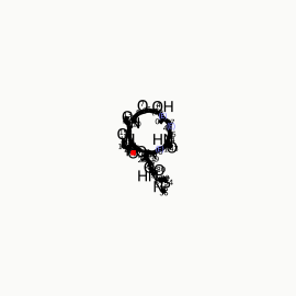 CC1=C\[C@@H](O)CC(=O)Cc2nc(co2)C(=O)N2CCC[C@@H]2C(=O)O[C@H]([C@H](C)COC(=O)Nc2csc(C)n2)[C@H](C)/C=C/C(=O)NC\C=C\1